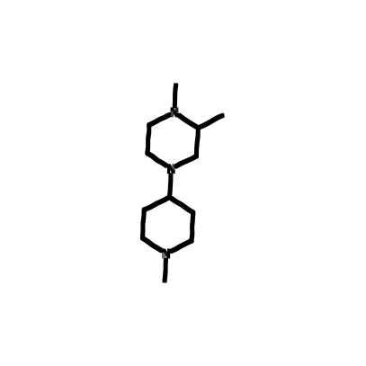 CC1CN(C2CCN(C)CC2)CCN1C